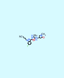 CN1C[C@H](CNC(=O)C(NC(=O)c2nn(CCCCC#N)c3cc(F)ccc23)C(C)(C)C)CC1=O